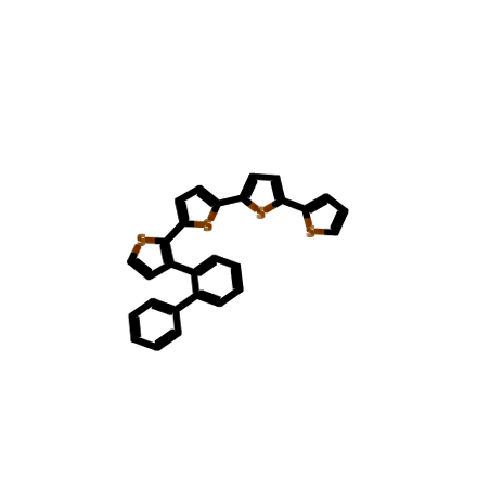 c1ccc(-c2ccccc2-c2ccsc2-c2ccc(-c3ccc(-c4cccs4)s3)s2)cc1